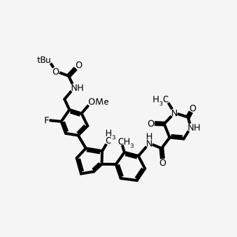 COc1cc(-c2cccc(-c3cccc(NC(=O)c4c[nH]c(=O)n(C)c4=O)c3C)c2C)cc(F)c1CNC(=O)OC(C)(C)C